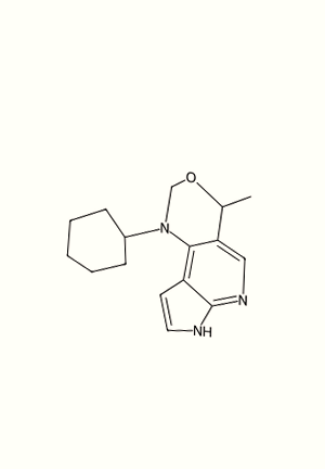 CC1OCN(C2CCCCC2)c2c1cnc1[nH]ccc21